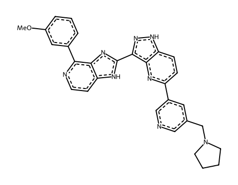 COc1cccc(-c2nccc3[nH]c(-c4n[nH]c5ccc(-c6cncc(CN7CCCC7)c6)nc45)nc23)c1